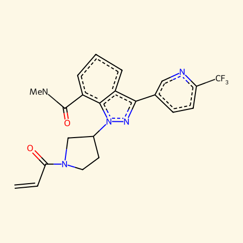 C=CC(=O)N1CCC(n2nc(-c3ccc(C(F)(F)F)nc3)c3cccc(C(=O)NC)c32)C1